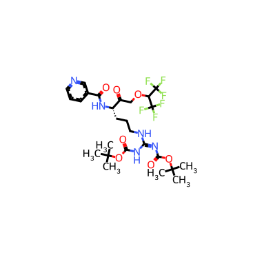 CC(C)(C)OC(=O)/N=C(/NCCC[C@H](NC(=O)c1cccnc1)C(=O)COC(C(F)(F)F)C(F)(F)F)NC(=O)OC(C)(C)C